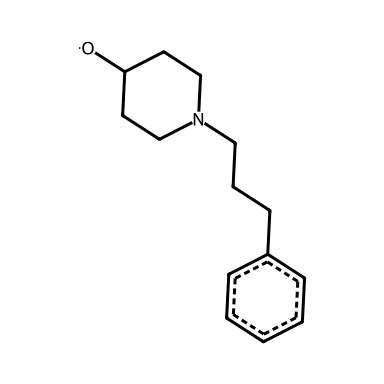 [O]C1CCN(CCCc2ccccc2)CC1